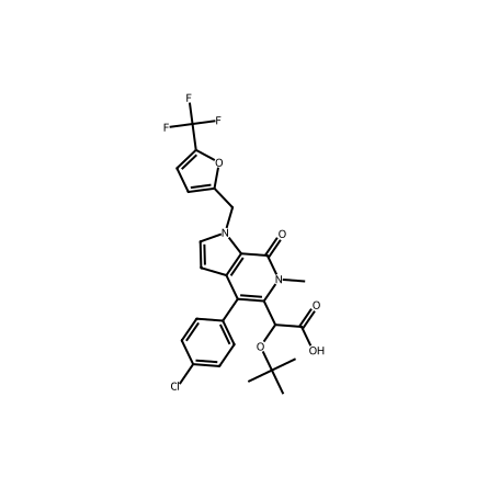 Cn1c(C(OC(C)(C)C)C(=O)O)c(-c2ccc(Cl)cc2)c2ccn(Cc3ccc(C(F)(F)F)o3)c2c1=O